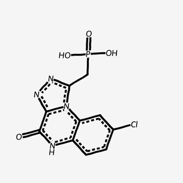 O=c1[nH]c2ccc(Cl)cc2n2c(CP(=O)(O)O)nnc12